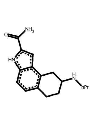 CCCNC1CCc2ccc3[nH]c(C(N)=O)cc3c2C1